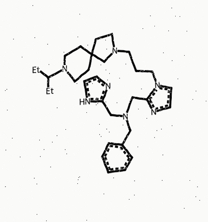 CCC(CC)N1CCC2(CCN(CCCn3ccnc3CN(Cc3ccccc3)Cc3ncc[nH]3)C2)CC1